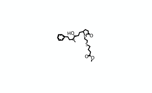 COC(=O)CCCSCCN1C(=O)CCC1CC[C@@H](O)[C@@H](C)CCc1ccccc1